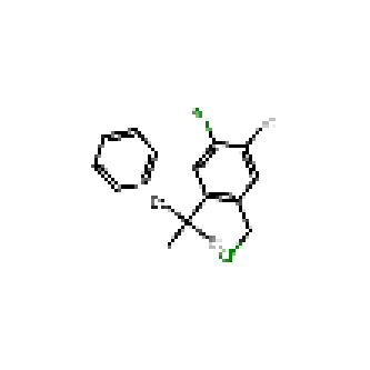 CCc1cc(CCl)c(C(C)(CC)CC)cc1Br.c1ccccc1